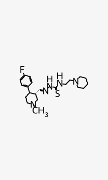 CN1CCC(c2ccc(F)cc2)[C@H](/C=N/NC(=S)NCCN2CCCCC2)C1